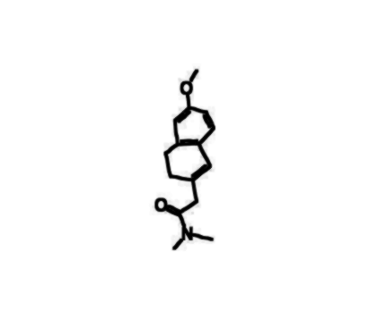 COc1ccc2c(c1)CCC(CC(=O)N(C)C)=C2